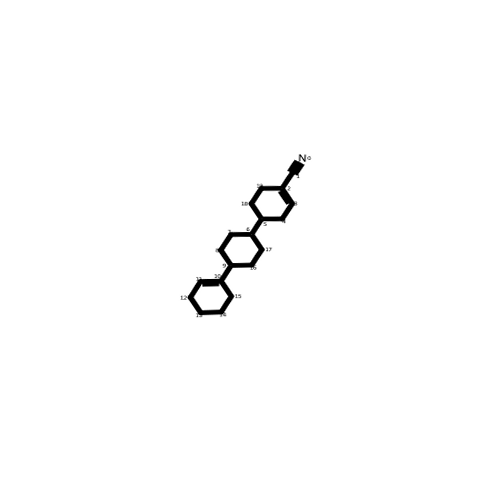 N#CC1=CCC(C2CCC(C3=CCCCC3)CC2)CC1